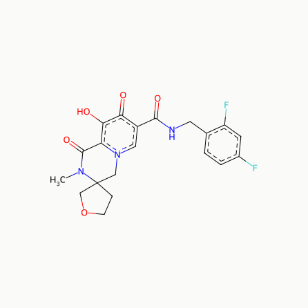 CN1C(=O)c2c(O)c(=O)c(C(=O)NCc3ccc(F)cc3F)cn2CC12CCOC2